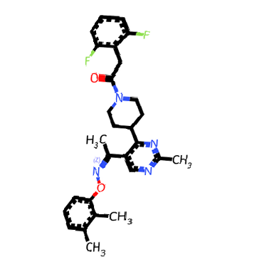 C/C(=N/Oc1cccc(C)c1C)c1cnc(C)nc1C1CCN(C(=O)Cc2c(F)cccc2F)CC1